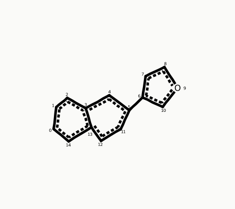 c1ccc2cc(-c3ccoc3)ccc2c1